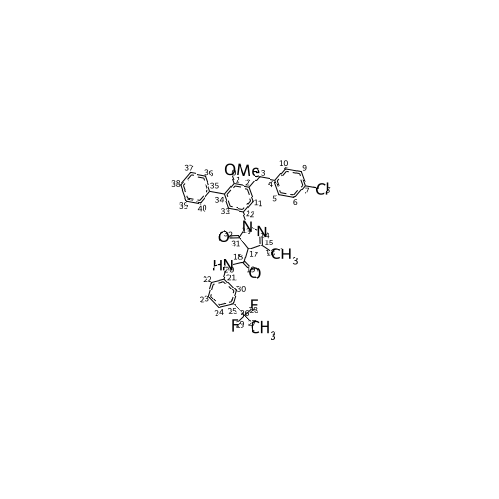 COc1c(Cc2ccc(Cl)cc2)cc(N2N=C(C)C(C(=O)Nc3cccc(C(C)(F)F)c3)C2=O)cc1-c1ccccc1